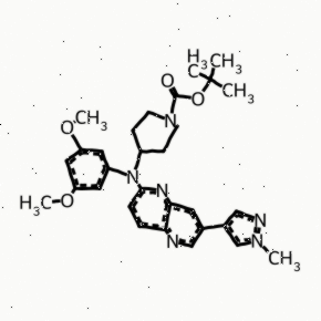 COc1cc(OC)cc(N(c2ccc3ncc(-c4cnn(C)c4)cc3n2)C2CCN(C(=O)OC(C)(C)C)CC2)c1